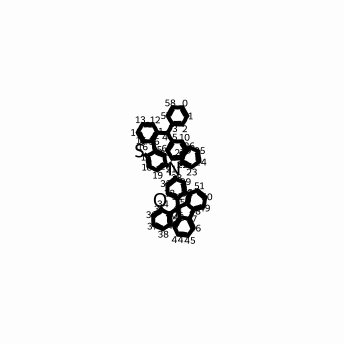 c1ccc(C(c2ccccc2)c2cccc3sc4ccc(N(c5ccccc5)c5ccc6c(c5)Oc5ccccc5C65c6ccccc6-c6ccccc65)cc4c23)cc1